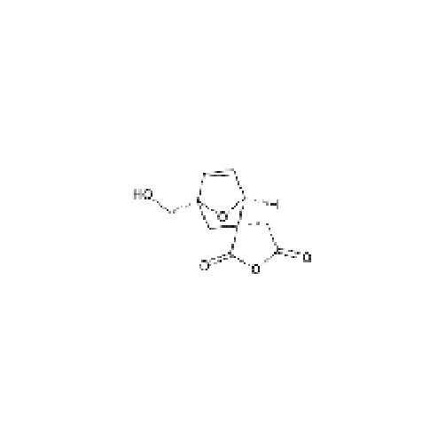 O=C1C[C@@]2(C[C@@]3(CO)C=C[C@@H]2O3)C(=O)O1